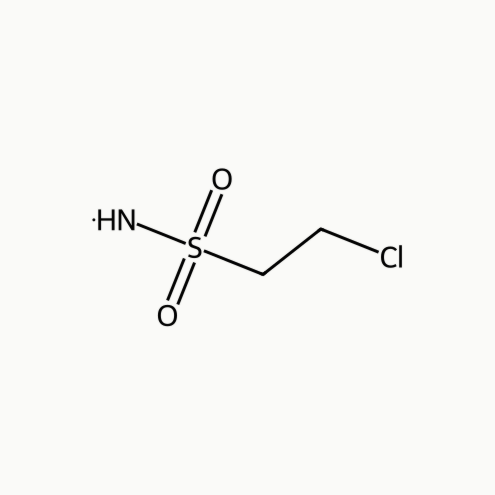 [NH]S(=O)(=O)CCCl